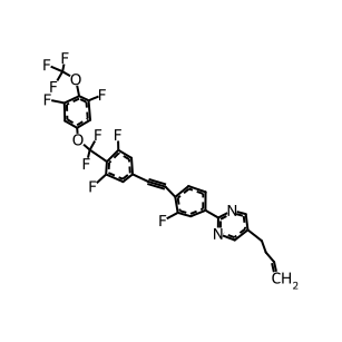 C=CCCc1cnc(-c2ccc(C#Cc3cc(F)c(C(F)(F)Oc4cc(F)c(OC(F)(F)F)c(F)c4)c(F)c3)c(F)c2)nc1